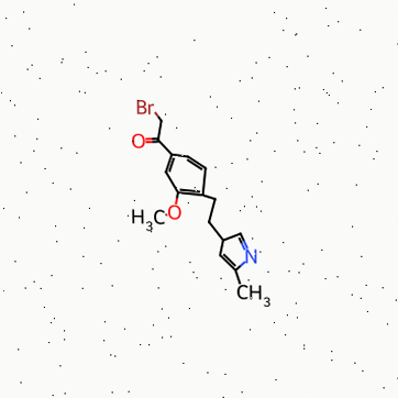 COc1cc(C(=O)CBr)ccc1CCC1C=NC(C)=C1